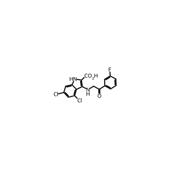 O=C(CNc1c(C(=O)O)[nH]c2cc(Cl)cc(Cl)c12)c1cccc(F)c1